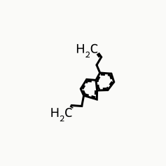 C=CCc1ccc2c(CC=C)cccc2c1